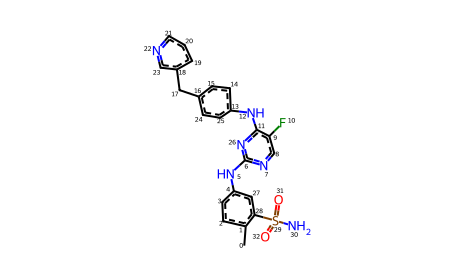 Cc1ccc(Nc2ncc(F)c(Nc3ccc(Cc4cccnc4)cc3)n2)cc1S(N)(=O)=O